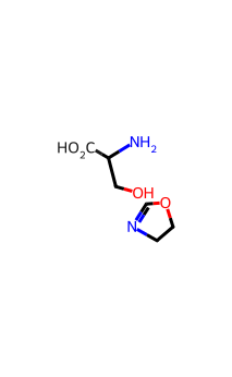 C1=NCCO1.NC(CO)C(=O)O